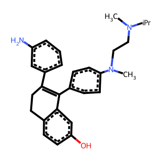 CC(C)N(C)CCN(C)c1ccc(C2=C(c3cccc(N)c3)CCc3ccc(O)cc32)cc1